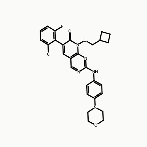 O=c1c(-c2c(F)cccc2Cl)cc2cnc(Nc3ccc(N4CCOCC4)cc3)nc2n1OCC1CCC1